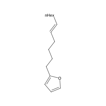 CCCCCCC=CCCCCc1ccco1